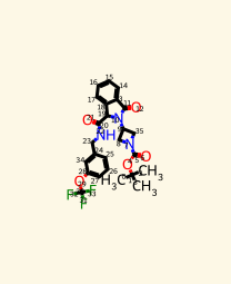 CC(C)(C)OC(=O)N1CC(N2C(=O)c3ccccc3C2C(=O)NCc2cccc(OC(F)(F)F)c2)C1